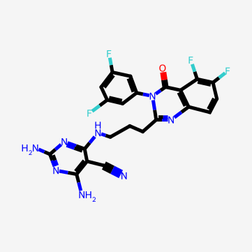 N#Cc1c(N)nc(N)nc1NCCCc1nc2ccc(F)c(F)c2c(=O)n1-c1cc(F)cc(F)c1